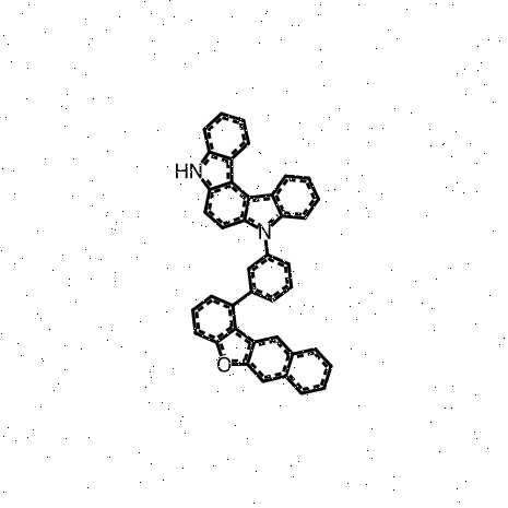 c1cc(-c2cccc3oc4cc5ccccc5cc4c23)cc(-n2c3ccccc3c3c4c(ccc32)[nH]c2ccccc24)c1